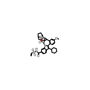 C=CS(=O)(=O)NC(=O)c1ccc2c(C3CCCCC3)c3n(c2c1)CC1(C(=O)N2C4CCC2CN(C)C4)CC1c1cc(OC)ccc1-3